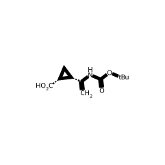 C=C(NC(=O)OC(C)(C)C)[C@H]1C[C@H]1C(=O)O